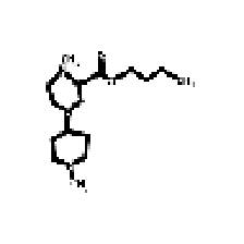 CCCCOC(=O)C1CN(C2CCN(C)CC2)CCN1C